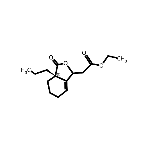 CCC[C@]12CCCC=C1C(CC(=O)OCC)OC2=O